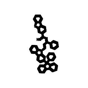 N=C(/N=C(\C=C\n1c2ccccc2c2ccc(C3(C4C=CC=CC4)c4ccccc4-c4ccccc43)cc21)c1ccccc1)c1ccc2c(c1)sc1ccccc12